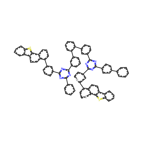 c1ccc(-c2ccc(-c3nc(-c4cccc(-c5ccccc5-c5cccc(-c6nc(-c7ccccc7)nc(-c7cccc(-c8cccc9c8ccc8c%10ccccc%10sc98)c7)n6)c5)c4)nc(-c4cccc(-c5cccc6c5ccc5c7ccccc7sc65)c4)n3)cc2)cc1